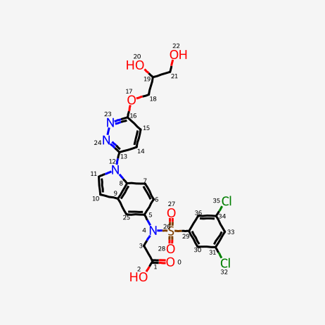 O=C(O)CN(c1ccc2c(ccn2-c2ccc(OCC(O)CO)nn2)c1)S(=O)(=O)c1cc(Cl)cc(Cl)c1